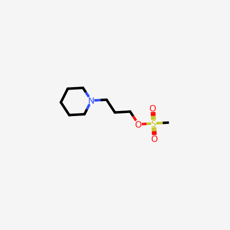 CS(=O)(=O)OCCCN1CCCCC1